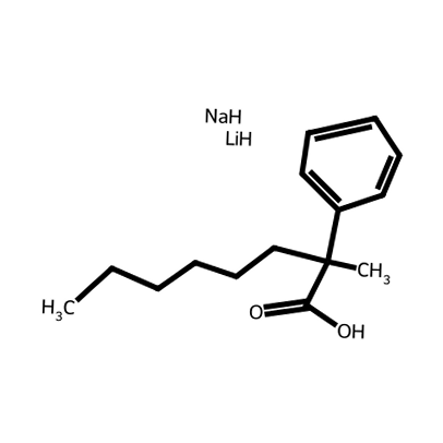 CCCCCCC(C)(C(=O)O)c1ccccc1.[LiH].[NaH]